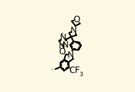 [CH2]c1cc2c(c(C(F)(F)F)c1)CN(c1cccc(C3(c4nncn4C)CN(C4COC4)C3)c1)C2=O